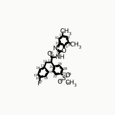 Cc1cc(C)c2oc(NC(=O)C(Cc3ccc(F)cc3)c3ccc(S(C)(=O)=O)cc3)nc2c1